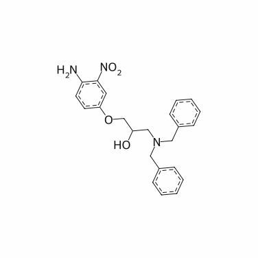 Nc1ccc(OCC(O)CN(Cc2ccccc2)Cc2ccccc2)cc1[N+](=O)[O-]